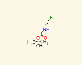 CC(C)(C)OC(=O)CNCCCBr